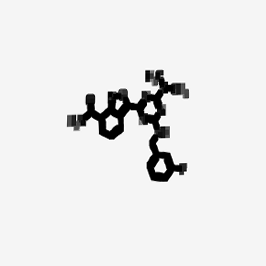 CN(C)c1nc(NCc2cccc(F)c2)nc(-c2onc3c(C(N)=O)cccc23)n1